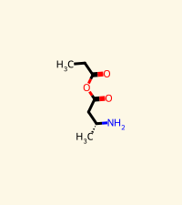 CCC(=O)OC(=O)C[C@@H](C)N